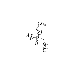 [C-]#[N+]CP(C)(=O)OCC